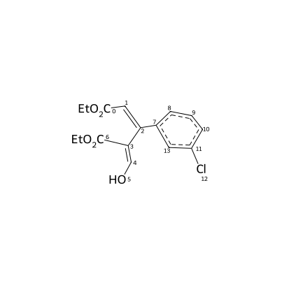 CCOC(=O)C=C(C(=CO)C(=O)OCC)c1cccc(Cl)c1